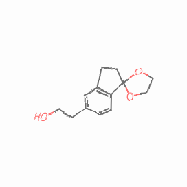 OCCc1ccc2c(c1)CCC21OCCO1